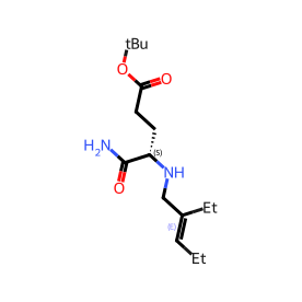 CC/C=C(\CC)CN[C@@H](CCC(=O)OC(C)(C)C)C(N)=O